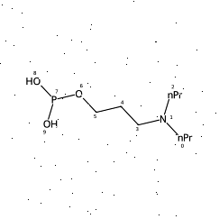 CCCN(CCC)CCCOP(O)O